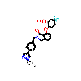 Cn1cc(-c2ccc(CN3Cc4cccc(O[C@@H]5CCC(F)(F)C[C@H]5O)c4C3=O)cc2)cn1